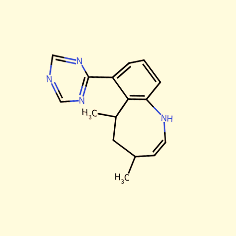 CC1/C=C\Nc2cccc(-c3ncncn3)c2C(C)C1